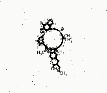 COCC(Cc1cccc([C@@]2(C)CCCC(C)(C)C[S+]([O-])CCc3c(c(F)c(F)c4[nH]ccc34)[S+]([O-])c3ccc(F)c(c3)-c3nc2nn3C)c1)C(=O)O